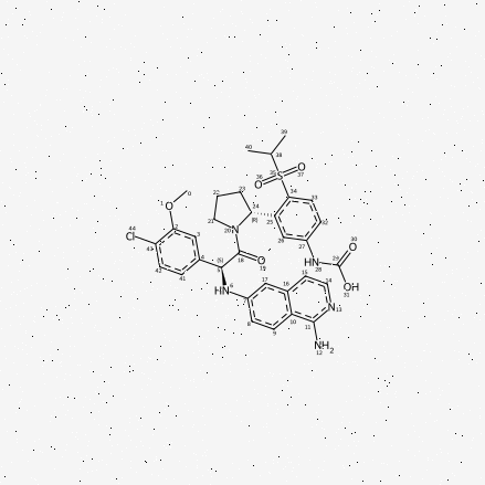 COc1cc([C@H](Nc2ccc3c(N)nccc3c2)C(=O)N2CCC[C@@H]2c2cc(NC(=O)O)ccc2S(=O)(=O)C(C)C)ccc1Cl